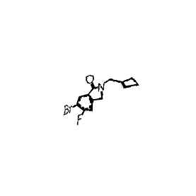 O=C1c2cc(Br)c(F)cc2CN1CC1CCC1